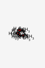 CCCCCc1c2nc(c(CC)c3c(CC)c(CC)c(c(CCCCC)c4nc(c(CC)c5[nH]c1cc5CC)C(CC)=C4CC)n3CC)C=C2